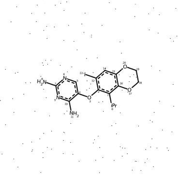 CC(C)c1c(Oc2cnc(N)nc2N)c(I)cc2c1OCCO2